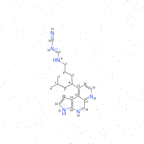 CC(C)CC(CCCN/C=N/C#N)c1ccnc2cnc3[nH]ccc3c12